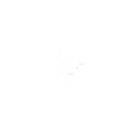 Cc1ccc(C2=C(C(=O)NS(C)(=O)=O)C(=O)NC(C)(CCC(C)C)C2)cc1